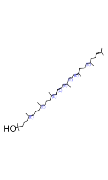 CC(C)=CCC/C(C)=C/CC/C(C)=C/C=C/C(C)=C/C=C/C=C(\C)CC/C=C(\C)CC/C=C(\C)CCCC(C)(C)O